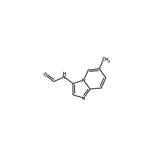 Cc1ccc2ncc(NC=O)n2c1